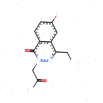 CCC(=O)Cn1nc(CC=O)c2cc(Br)ccc2c1=O